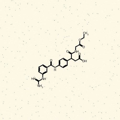 CCOC(=O)CNC(=O)C(CC(=O)O)c1ccc(NC(=O)c2cccc(NC(=N)N)c2)cc1